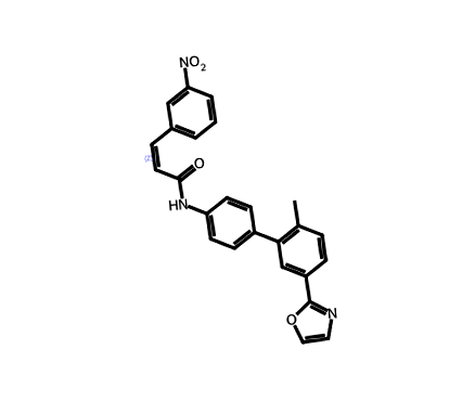 Cc1ccc(-c2ncco2)cc1-c1ccc(NC(=O)/C=C\c2cccc([N+](=O)[O-])c2)cc1